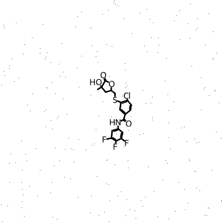 CC1(O)CC(CSc2cc(C(=O)Nc3cc(F)c(F)c(F)c3)ccc2Cl)OC1=O